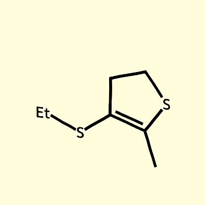 CCSC1=C(C)SCC1